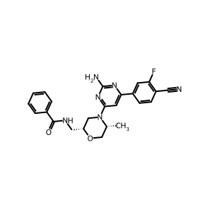 C[C@@H]1CO[C@H](CNC(=O)c2ccccc2)CN1c1cc(-c2ccc(C#N)c(F)c2)nc(N)n1